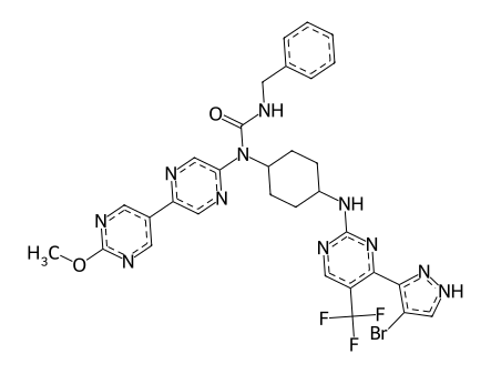 COc1ncc(-c2cnc(N(C(=O)NCc3ccccc3)C3CCC(Nc4ncc(C(F)(F)F)c(-c5n[nH]cc5Br)n4)CC3)cn2)cn1